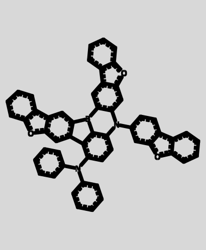 c1ccc(N(c2ccccc2)c2ccc3c4c2-c2cc5oc6ccccc6c5cc2B4c2cc4c(cc2N3c2ccc3c(c2)oc2ccccc23)oc2ccccc24)cc1